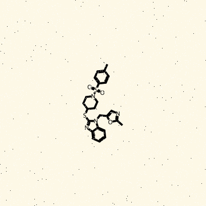 Cc1ccc(S(=O)(=O)N2CCC(Sc3nc4ccccc4n3Cc3cnc(C)o3)CC2)cc1